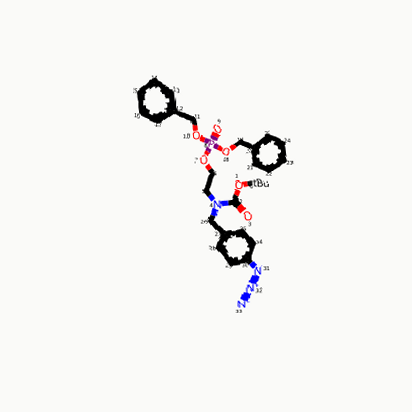 CC(C)(C)OC(=O)N(CCOP(=O)(OCc1ccccc1)OCc1ccccc1)Cc1ccc(N=[N+]=[N-])cc1